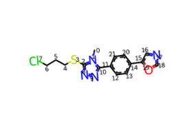 Cn1c(SCCCCl)nnc1-c1ccc(-c2cnco2)cc1